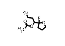 [2H]CCC(OC(C)=O)C1(F)CCCO1